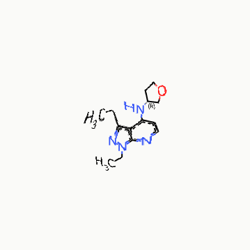 CCc1nn(CC)c2nccc(N[C@@H]3CCOC3)c12